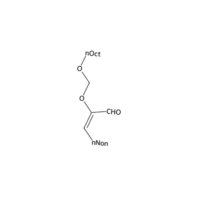 CCCCCCCCC/C=C(\C=O)OCOCCCCCCCC